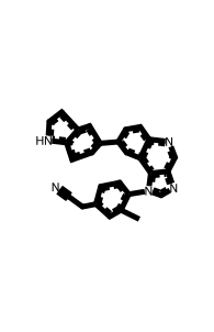 Cc1cc(CC#N)ccc1-n1cnc2cnc3ccc(-c4ccc5[nH]ccc5c4)cc3c21